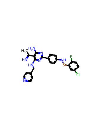 CC(=N)c1c(N)nc(-c2ccc(NSc3cc(Cl)ccc3F)cc2)nc1NCc1ccncc1